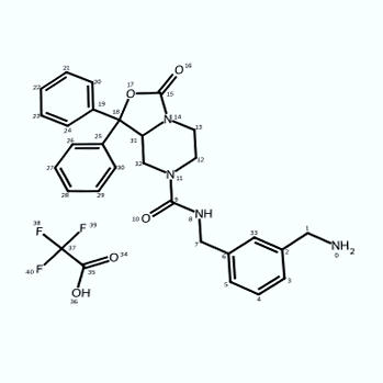 NCc1cccc(CNC(=O)N2CCN3C(=O)OC(c4ccccc4)(c4ccccc4)C3C2)c1.O=C(O)C(F)(F)F